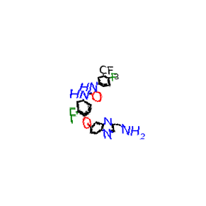 NCc1cnc2ccc(Oc3ccc(NC(=O)Nc4ccc(F)c(C(F)(F)F)c4)cc3F)cc2n1